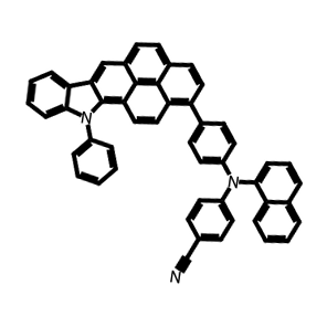 N#Cc1ccc(N(c2ccc(-c3ccc4ccc5cc6c7ccccc7n(-c7ccccc7)c6c6ccc3c4c56)cc2)c2cccc3ccccc23)cc1